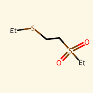 CCSCCS(=O)(=O)CC